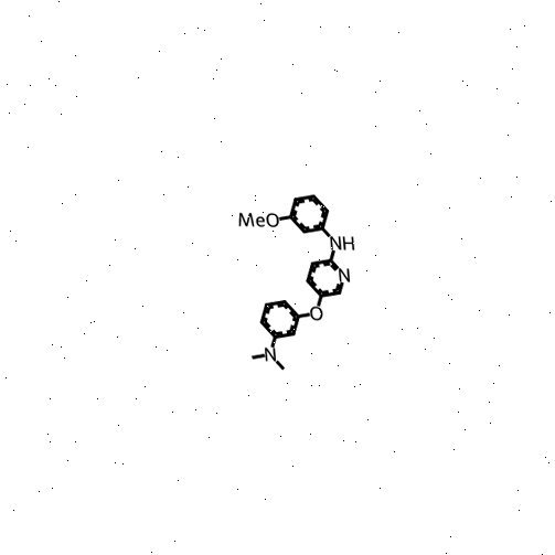 COc1cccc(Nc2ccc(Oc3cccc(N(C)C)c3)cn2)c1